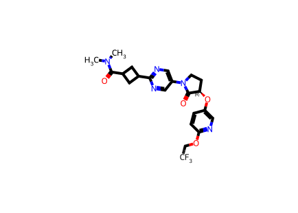 CN(C)C(=O)C1CC(c2ncc(N3CC[C@@H](Oc4ccc(OCC(F)(F)F)nc4)C3=O)cn2)C1